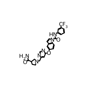 NC(=O)C1CCN(Cc2cc(Oc3ccc4c(ccn4C(=O)Nc4cccc(C(F)(F)F)c4)c3)ncn2)C1